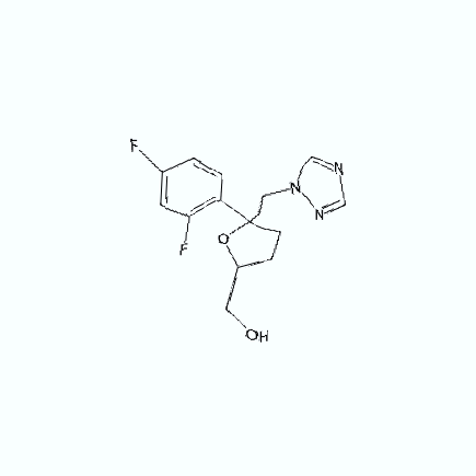 OCC1CCC(Cn2cncn2)(c2ccc(F)cc2F)O1